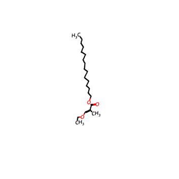 CCCCCCCCCCCCCCCCOC(=O)C(C)=COCC